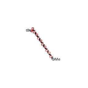 COCCOCCOCCOCCOCCOCCOCCOCCOCCOCC(=O)OC(C)(C)C